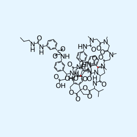 CCCNC(=O)Nc1cccc(S(=O)(=O)Nc2cccc(C(CC(=O)O)NC(=O)Nc3ccc(NC(=O)N(C)CC(=O)N(C)CC(=O)N(C)CC(=O)N(C)CC(=O)NC(CC(=O)O)C(=O)N4CCCC4C(=O)NC(C(=O)OC4(CC)C(=O)OCc5c4cc4n(c5=O)Cc5c-4nc4ccccc4c5CC)C(C)C)cc3)c2)c1